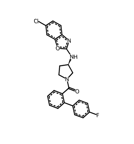 O=C(c1ccccc1-c1ccc(F)cc1)N1CC[C@@H](Nc2nc3ccc(Cl)cc3o2)C1